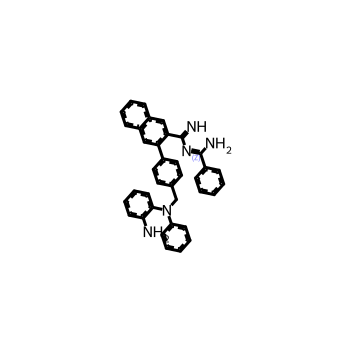 N=C(/N=C(\N)c1ccccc1)c1cc2ccccc2cc1-c1ccc(CN(c2ccccc2)c2ccccc2N)cc1